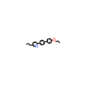 CCCOc1ccc(-c2ccc(-c3ccc(CCC)cn3)cc2)cc1